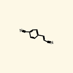 N#CC=Cc1ccc(C#N)cc1